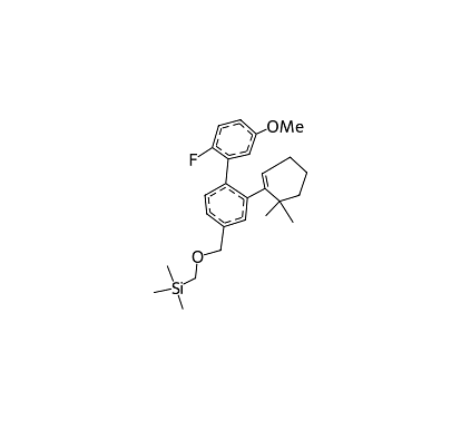 COc1ccc(F)c(-c2ccc(COC[Si](C)(C)C)cc2C2=CCCCC2(C)C)c1